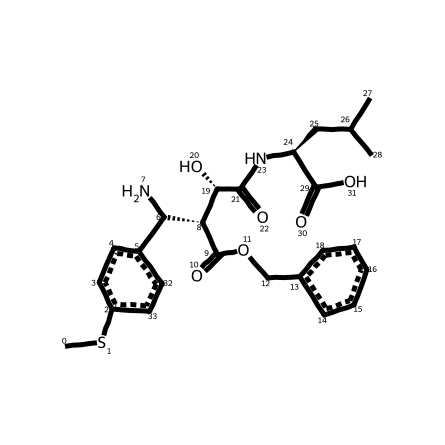 CSc1ccc(C(N)[C@@H](C(=O)OCc2ccccc2)[C@H](O)C(=O)N[C@@H](CC(C)C)C(=O)O)cc1